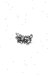 CC(C)C(C(=O)O)N(C)C(=O)N1CCCN(C(=O)[C@H]2CCN2C(c2ccccc2)(c2ccccc2)c2ccccc2)CC1